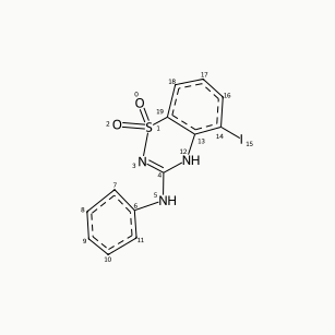 O=S1(=O)N=C(Nc2ccccc2)Nc2c(I)cccc21